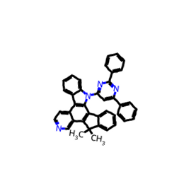 CC1(C)c2ccccc2-c2c1c1cnccc1c1c3ccccc3n(-c3cc(-c4ccccc4)nc(-c4ccccc4)n3)c21